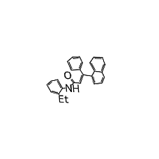 CCc1ccccc1NC(=O)C=C(c1ccccc1)c1cccc2ccccc12